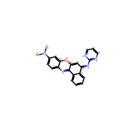 CCN(CC)c1ccc2nc3c4ccccc4c(=Nc4ncccn4)cc-3oc2c1